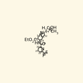 CCOC(=O)c1cn2nc(CCC(C)(C)O)cc2cc1NC(=O)c1cccc(C(F)F)n1